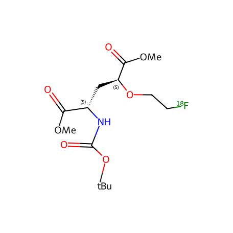 COC(=O)[C@H](C[C@H](OCC[18F])C(=O)OC)NC(=O)OC(C)(C)C